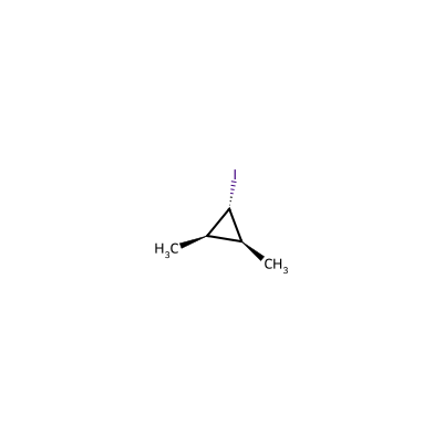 C[C@@H]1[C@H](C)[C@H]1I